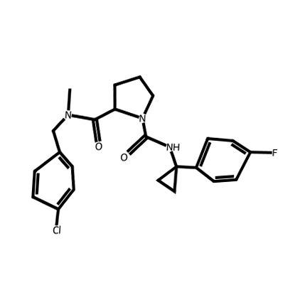 CN(Cc1ccc(Cl)cc1)C(=O)C1CCCN1C(=O)NC1(c2ccc(F)cc2)CC1